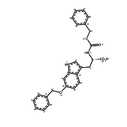 O=C(N[C@@H](Cc1c[nH]c2cc(OCc3ccccc3)ccc12)C(=O)O)OCc1ccccc1